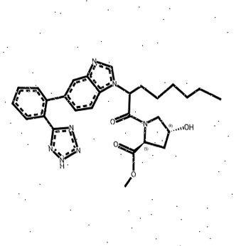 CCCCCCC(C(=O)N1C[C@H](O)C[C@H]1C(=O)OC)n1cnc2cc(-c3ccccc3-c3nn[nH]n3)ccc21